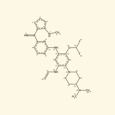 CNc1ccsc1C(=N)c1ccnc(Nc2cc(NC=O)c(N3CCC(N(C)C)CC3)cc2OC(F)F)n1